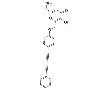 NCc1cc(=O)c(O)c(COc2ccc(C#CC#Cc3ccccc3)cc2)o1